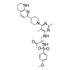 COc1ccc(S(=O)(=O)N[C@@H](CNc2nc(C)nc(N3CCC(c4ccc5c(n4)NCCC5)CC3)c2C)C(C)=O)cc1